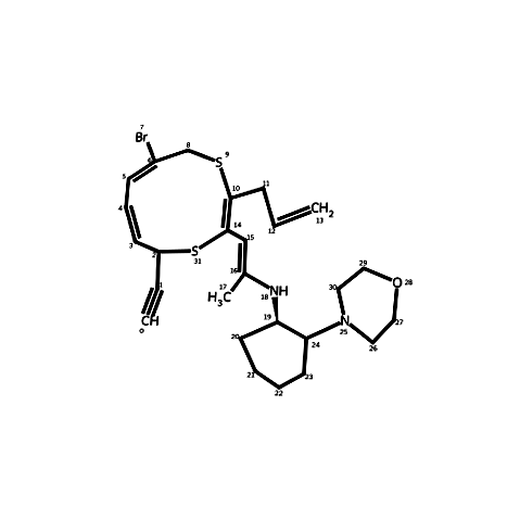 C#CC1/C=C\C=C(\Br)CS/C(CC=C)=C(/C=C(\C)N[C@@H]2CCCCC2N2CCOCC2)S1